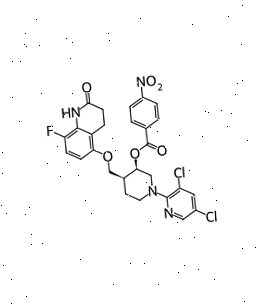 O=C1CCc2c(OC[C@@H]3CCN(c4ncc(Cl)cc4Cl)C[C@@H]3OC(=O)c3ccc([N+](=O)[O-])cc3)ccc(F)c2N1